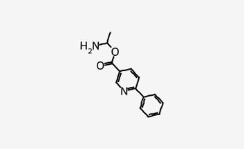 CC(N)OC(=O)c1ccc(-c2ccccc2)nc1